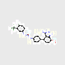 COc1ccc(-c2ccc(NC(=O)Nc3ccc(F)c(C(F)(F)F)c3)cc2)c2c(N)n[nH]c12